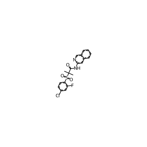 CC(C)(C(=O)Nc1cc2ccccc2cn1)S(=O)(=O)c1ccc(Cl)cc1F